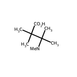 CNC(C)(C)C(C)(C)C(=O)O